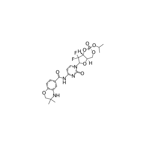 CC(C)OP1(=O)OC[C@H]2OC(n3ccc(NC(=O)c4ccc5c(c4)NC(C)(C)CO5)nc3=O)C(F)(F)[C@@H]2O1